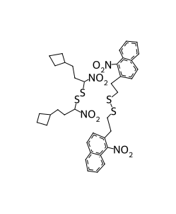 O=[N+]([O-])C(CCC1CCC1)SSC(CCC1CCC1)[N+](=O)[O-].O=[N+]([O-])c1c(CCSSCCc2ccc3ccccc3c2[N+](=O)[O-])ccc2ccccc12